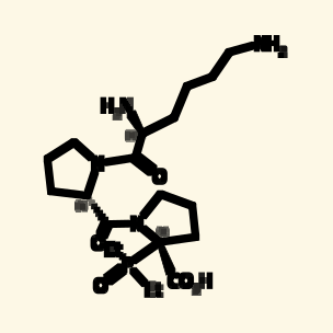 CCP(=O)(CC)[C@@]1(C(=O)O)CCCN1C(=O)[C@@H]1CCCN1C(=O)[C@@H](N)CCCCN